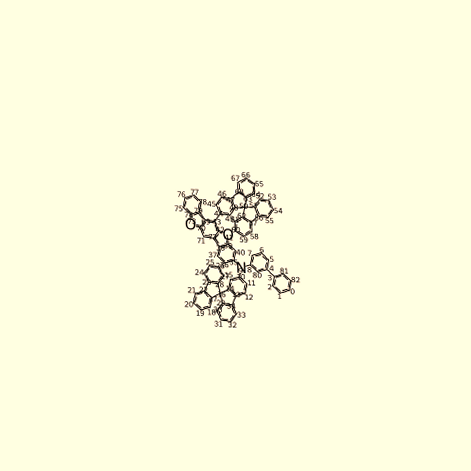 c1ccc(-c2cccc(N(c3ccc4c(c3)C3(c5ccccc5-c5ccccc53)c3ccccc3-4)c3ccc4c(c3)oc3c(-c5ccc6c(c5)C5(c7ccccc7-c7ccccc75)c5ccccc5-6)c5c(cc34)oc3ccccc35)c2)cc1